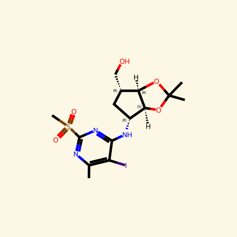 Cc1nc(S(C)(=O)=O)nc(N[C@@H]2C[C@H](CO)[C@H]3OC(C)(C)O[C@H]32)c1I